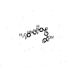 Cc1cc(Nc2ccnc(Nc3ccc(C(=O)N4CCC(C(O)c5ccncc5F)CC4)cc3)n2)ccc1F